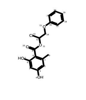 Cc1cc(O)cc(O)c1C(=O)OC(Cl)COc1ccccc1